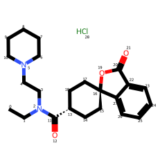 CCN(CCN1CCCCC1)C(=O)[C@H]1CC[C@@]2(CC1)OC(=O)c1ccccc12.Cl